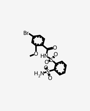 COc1cc(Br)ccc1C(=O)NS(=O)(=O)c1ccccc1S(N)(=O)=O